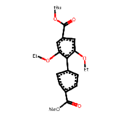 CCOc1cc(C(=O)OC(C)(C)C)cc(OCC)c1-c1ccc(C(=O)OC)cc1